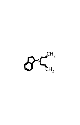 C=C[CH]N(CC=C)C1CCc2ccccc21